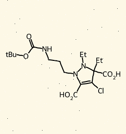 CCN1N(CCCNC(=O)OC(C)(C)C)C(C(=O)O)=C(Cl)C1(CC)C(=O)O